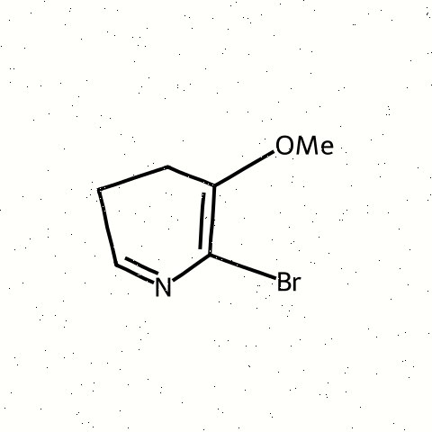 COC1=C(Br)N=CCC1